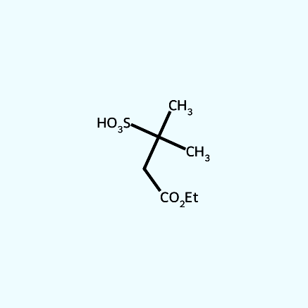 CCOC(=O)CC(C)(C)S(=O)(=O)O